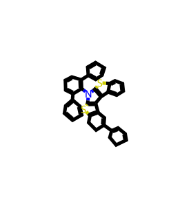 C1=CCCC(C2=Cc3c(sc4c3c3c5ccccc5sc3n4-c3c(-c4ccccc4)cccc3-c3ccccc3)CC2)=C1